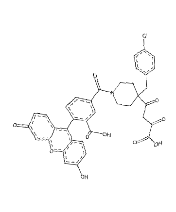 O=C(O)C(=O)CC(=O)C1(Cc2ccc(Cl)cc2)CCN(C(=O)c2ccc(-c3c4ccc(=O)cc-4oc4cc(O)ccc34)c(C(=O)O)c2)CC1